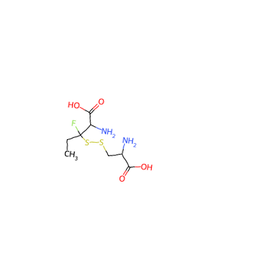 CCC(F)(SSCC(N)C(=O)O)C(N)C(=O)O